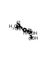 CS(=O)(=O)OC(CCCl)CNc1ccc(C(=O)N[C@@H](CCC(=O)O)C(=O)O)cc1